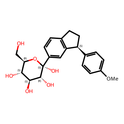 COc1ccc([C@@H]2CCc3ccc([C@]4(O)O[C@H](CO)[C@@H](O)[C@H](O)[C@H]4O)cc32)cc1